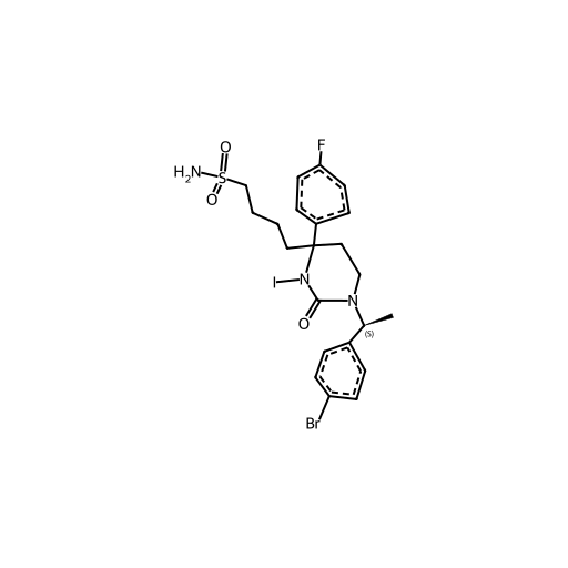 C[C@@H](c1ccc(Br)cc1)N1CCC(CCCCS(N)(=O)=O)(c2ccc(F)cc2)N(I)C1=O